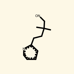 CC(C)(CCc1ccccn1)CN=O